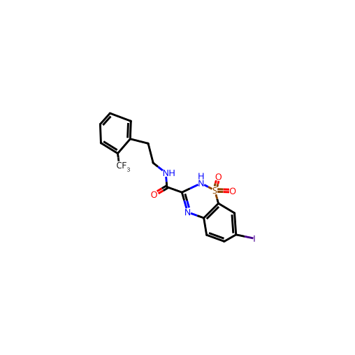 O=C(NCCc1ccccc1C(F)(F)F)C1=Nc2ccc(I)cc2S(=O)(=O)N1